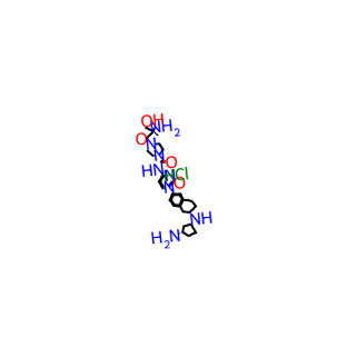 C[C@](N)(CO)C(=O)N1CCN(C(=O)Nc2ccn(-c3ccc4c(c3)CCC(N[C@H]3CC[C@H](N)C3)C4)c(=O)n2)CC1.Cl